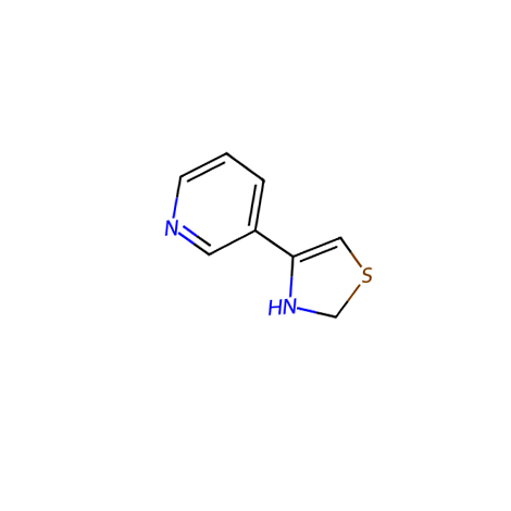 C1=C(c2cccnc2)NCS1